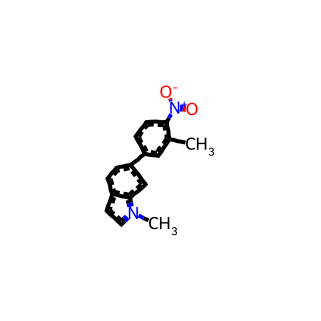 Cc1cc(-c2ccc3ccn(C)c3c2)ccc1[N+](=O)[O-]